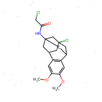 COc1cc2c(cc1OC)C1CC3(Cl)CC2CC(NC(=O)CCl)(C1)C3